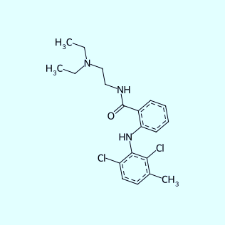 CCN(CC)CCNC(=O)c1ccccc1Nc1c(Cl)ccc(C)c1Cl